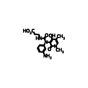 Cc1cn(C)c(=O)c(N(C(=O)NCCC(=O)O)c2cccc(N)c2)c1O